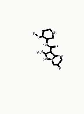 CCOC1CCNCC1NC(=O)C1C(N)NN2CC(F)CNC12